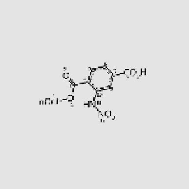 CCCCCCCCOC(=O)c1ccc(C(=O)O)cc1N[N+](=O)[O-]